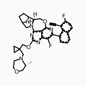 C#Cc1c(F)ccc2cccc(-c3nc4c5c(nc(OCC6(CN7CCOC[C@H]7C)CC6)nc5c3F)N3CC5CCC(N5)[C@H]3CO4)c12